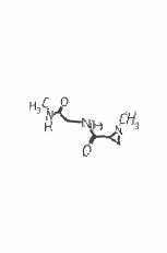 CNC(=O)CNC(=O)C1CN1C